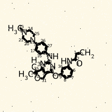 C=CC(=O)Nc1cccc(Oc2nc(Nc3ccc(N4CCN(C)CC4)cc3)nc3c2COC3(C)C)c1